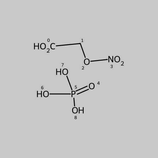 O=C(O)CO[N+](=O)[O-].O=P(O)(O)O